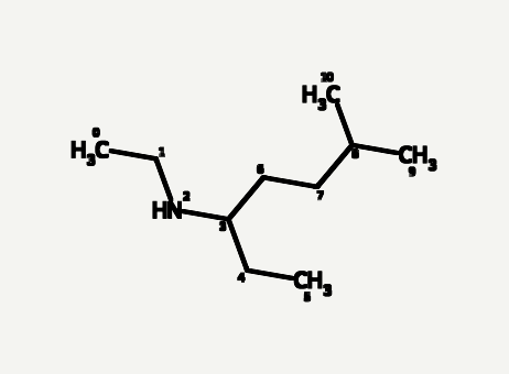 CCNC(CC)CCC(C)C